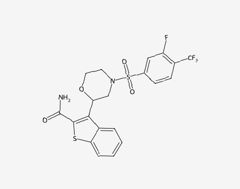 NC(=O)c1sc2ccccc2c1C1CN(S(=O)(=O)c2ccc(C(F)(F)F)c(F)c2)CCO1